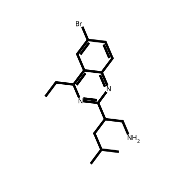 CCc1nc(C(CN)CC(C)C)nc2ccc(Br)cc12